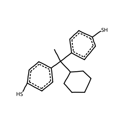 CC(c1ccc(S)cc1)(c1ccc(S)cc1)C1CCCCC1